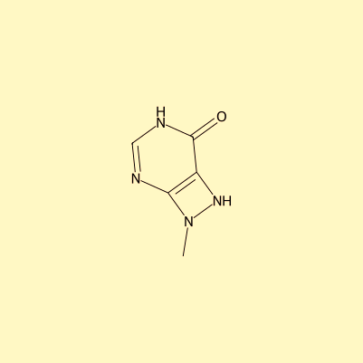 Cn1[nH]c2c(=O)[nH]cnc21